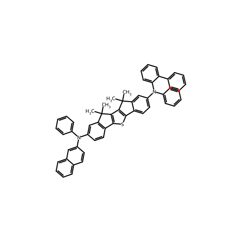 CC1(C)c2cc(N(c3ccccc3)c3ccc4ccccc4c3)ccc2-c2sc3c(c21)C(C)(C)c1cc(N(c2ccccc2)c2ccccc2-c2ccccc2)ccc1-3